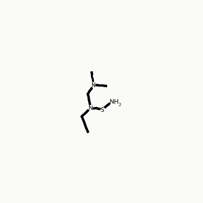 CCN(CN(C)C)SN